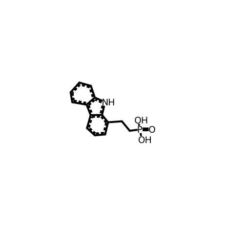 O=P(O)(O)CCc1cccc2c1[nH]c1ccccc12